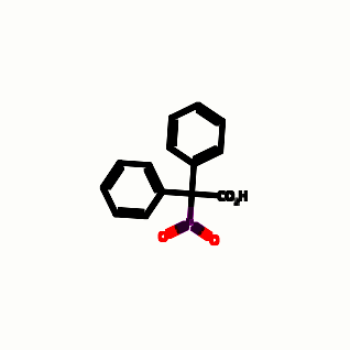 O=C(O)C(c1ccccc1)(c1ccccc1)P(=O)=O